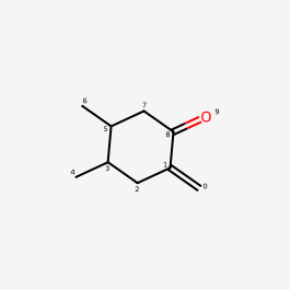 C=C1CC(C)C(C)CC1=O